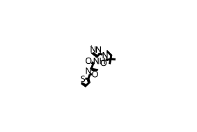 Cn1cc(NC(=O)c2coc(-c3cccs3)n2)c(N2CCC(C)(C)C2=O)n1